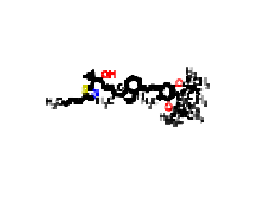 C=C1/C(=C\C=C2/CCC[C@]3(C)[C@@H]([C@H](C)/C=C/[C@@H](O)C4(c5ncc(CCCC)s5)CC4)CC[C@@H]23)C[C@@H](O[Si](C)(C)C(C)(C)C)C[C@@H]1O[Si](C)(C)C(C)(C)C